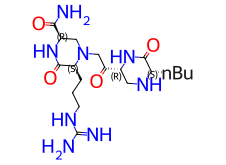 CCCC[C@@H]1NC[C@H](C(=O)CN2C[C@H](C(N)=O)NC(=O)[C@@H]2CCCNC(=N)N)NC1=O